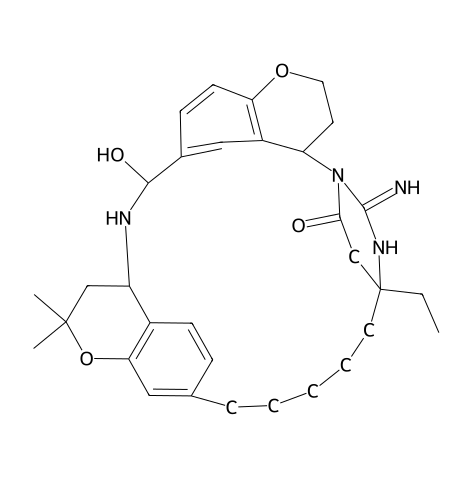 CCC12CCCCCc3ccc4c(c3)OC(C)(C)CC4NC(O)c3ccc4c(c3)C(CCO4)N(C(=N)N1)C(=O)C2